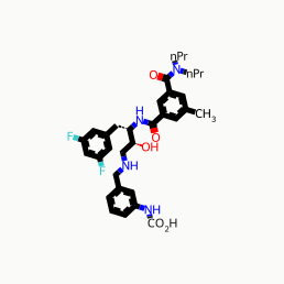 CCCN(CCC)C(=O)c1cc(C)cc(C(=O)N[C@@H](Cc2cc(F)cc(F)c2)[C@H](O)CNCc2cccc(NC(=O)O)c2)c1